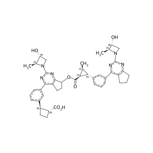 C[C@@H]1[C@H](C(=O)OC2CCc3c(-c4cccc([C@@H]5CC[C@H]5C(=O)O)c4)nc(N4C[C@@H](O)[C@@H]4C)nc32)[C@H]1c1cccc(-c2nc(N3C[C@@H](O)[C@@H]3C)nc3c2CCC3)c1